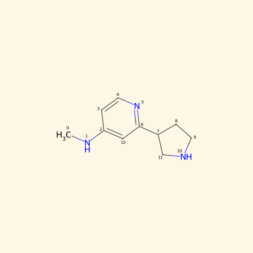 CNc1ccnc(C2CCNC2)c1